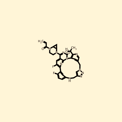 C=CC(=O)N1CCN(c2nc(=O)n3c4nc(c(F)cc24)-c2cc(ccc2F)NCc2cn(nn2)Cc2cnc(C(C)C)c-3c2)C2CC21